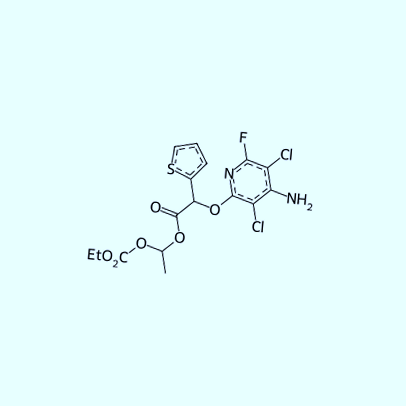 CCOC(=O)OC(C)OC(=O)C(Oc1nc(F)c(Cl)c(N)c1Cl)c1cccs1